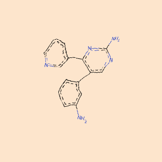 Nc1cccc(-c2cnc(N)nc2-c2cccnc2)c1